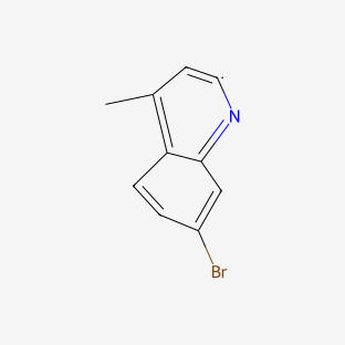 Cc1c[c]nc2cc(Br)ccc12